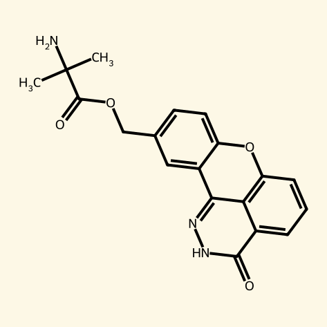 CC(C)(N)C(=O)OCc1ccc2c(c1)-c1n[nH]c(=O)c3cccc(c13)O2